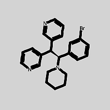 Brc1cccc([C@H](C(c2cccnc2)c2cccnc2)N2CC[CH]CC2)c1